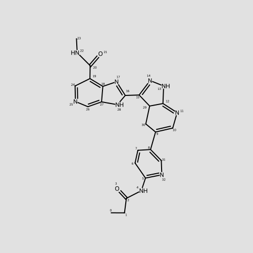 CCC(=O)Nc1ccc(C2=CN=C3NN=C(c4nc5c(C(=O)NC)cncc5[nH]4)C3C2)cn1